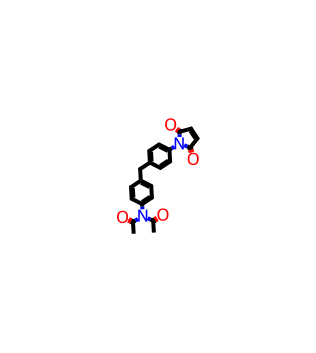 CC(=O)N(C(C)=O)c1ccc(Cc2ccc(N3C(=O)C=CC3=O)cc2)cc1